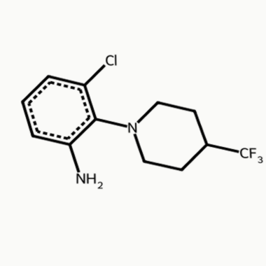 Nc1cccc(Cl)c1N1CCC(C(F)(F)F)CC1